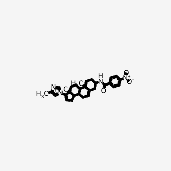 Cc1cn(C2=CCC3C4CC=C5CC(NC(=O)c6ccc([N+](=O)[O-])cc6)CCC5(C)C4CCC23C)cn1